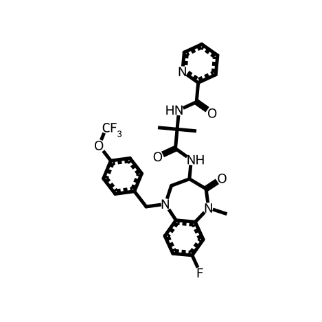 CN1C(=O)C(NC(=O)C(C)(C)NC(=O)c2ccccn2)CN(Cc2ccc(OC(F)(F)F)cc2)c2ccc(F)cc21